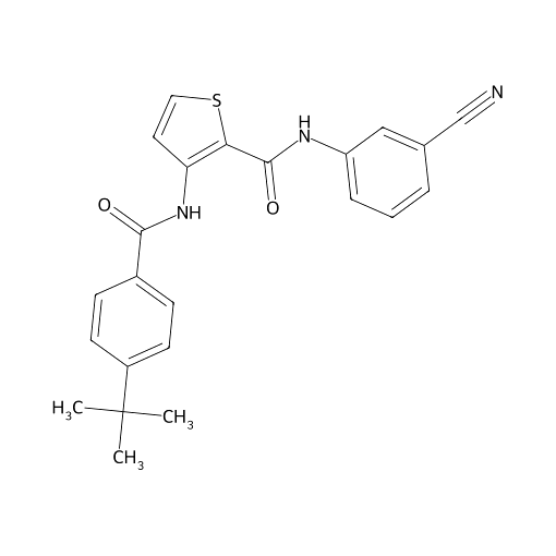 CC(C)(C)c1ccc(C(=O)Nc2ccsc2C(=O)Nc2cccc(C#N)c2)cc1